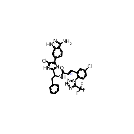 Nc1n[nH]c2cc(-c3nc(C(Cc4ccccc4)NC(=O)/C=C/c4cc(Cl)ccc4-n4nnnc4C(F)(F)F)[nH]c3Cl)ccc12